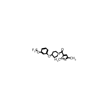 Cc1cc(C(=O)N2CCC(Oc3cccc(OC(F)(F)F)c3)CC2)n(C)n1